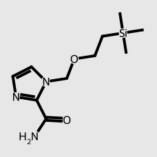 C[Si](C)(C)CCOCn1ccnc1C(N)=O